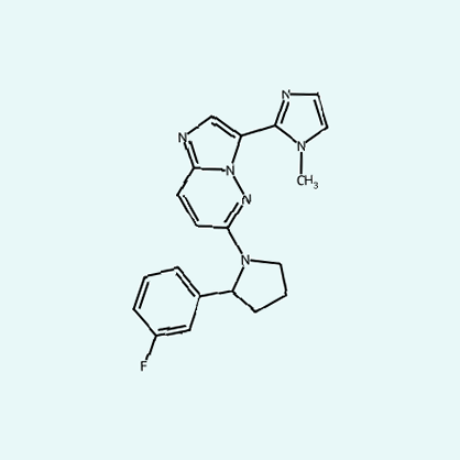 Cn1ccnc1-c1cnc2ccc(N3CCCC3c3cccc(F)c3)nn12